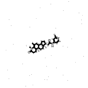 CC1=C2N(C)C(=O)CC[C@]2(C)C2CC[C@@]3(C)C(CC[C@@H]3CC(=O)Nc3ccnc(C)c3)C2C1